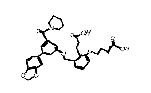 O=C(O)CCCOc1cccc(COc2cc(C(=O)N3CCCCC3)cc(-c3ccc4c(c3)OCO4)c2)c1CCC(=O)O